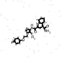 Cc1c(NC(=O)c2cc(C(N)=O)c3ccccc3n2)nnn1CCOc1ccc(F)cc1